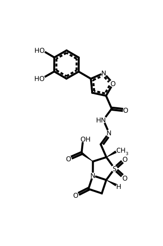 C[C@]1(/C=N/NC(=O)c2cc(-c3ccc(O)c(O)c3)no2)[C@H](C(=O)O)N2C(=O)C[C@H]2S1(=O)=O